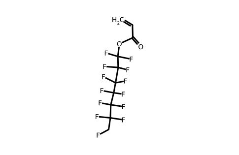 C=CC(=O)OC(F)(F)C(F)(F)C(F)(F)C(F)(F)C(F)(F)C(F)(F)CF